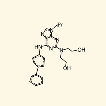 CC(C)n1cnc2c(Nc3ccc(-c4ccccc4)cc3)nc(N(CCO)CCO)nc21